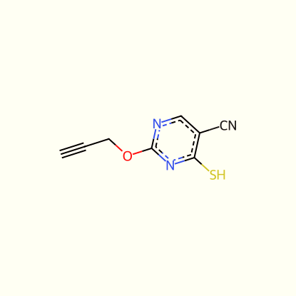 C#CCOc1ncc(C#N)c(S)n1